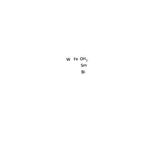 O.[Bi].[Fe].[Sm].[W]